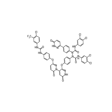 O=C(Nc1ccc(Oc2ccc(=O)n(-c3cc(=O)[nH]nc3Oc3ccc(N(C(=O)Nc4ccc(Cl)c(Cl)c4)N(C(=O)Nc4ccc(Cl)c(Cl)c4)c4ccc(-c5ccc(=O)[nH]n5)cc4)cc3)n2)cc1)Nc1ccc(Cl)c(C(F)(F)F)c1